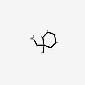 CC1(CO)CC[CH]CC1